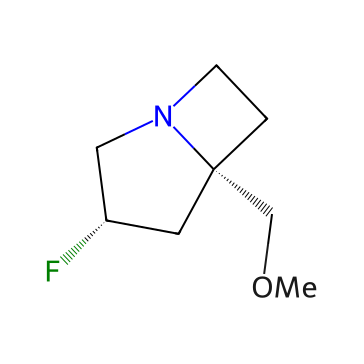 COC[C@@]12CCN1C[C@@H](F)C2